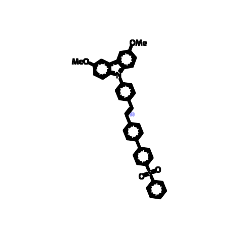 COc1ccc2c(c1)c1cc(OC)ccc1n2-c1ccc(/C=C/c2ccc(-c3ccc(S(=O)(=O)c4ccccc4)cc3)cc2)cc1